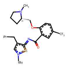 CC(C)Cc1cn(C(C)(C)C)sc1=NC(=O)c1cc(C(F)(F)F)ccc1OC[C@@H]1CCCN1C